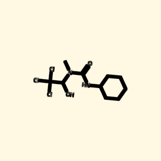 CN(C(=O)NC1CCCCC1)C(O)C(Cl)(Cl)Cl